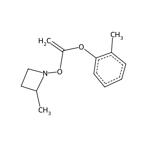 C=C(Oc1ccccc1C)ON1CCC1C